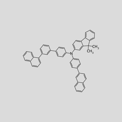 CC1(C)c2ccccc2-c2ccc(N(c3ccc(-c4cccc(-c5cccc6ccccc56)c4)cc3)c3ccc(-c4ccc5ccccc5c4)cc3)cc21